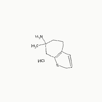 CC1(N)CCc2ccsc2C1.Cl